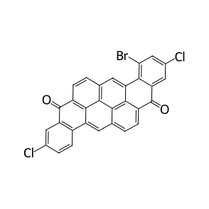 O=c1c2cc(Cl)ccc2c2cc3ccc4c(=O)c5cc(Cl)cc(Br)c5c5cc6ccc1c2c6c3c45